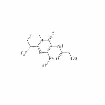 CC(C)Nc1nc2n(c(=O)c1NC(=O)CC(C)(C)C)CCCC2C(F)(F)F